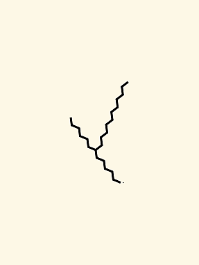 [CH2]CCCCCC(CCCCCC)CCCCCCCCCCC